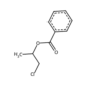 CC(CCl)OC(=O)c1[c]cccc1